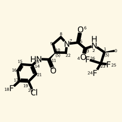 C[C@H](NC(=O)C(=O)N1CC[C@H](C(=O)Nc2ccc(F)c(Cl)c2)C1)C(F)(F)F